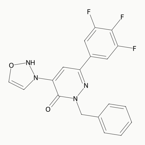 O=c1c(N2C=CON2)cc(-c2cc(F)c(F)c(F)c2)nn1Cc1ccccc1